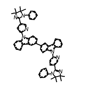 CC1(C)N=C(c2ccc(-n3c4ccccc4c4cc(-c5ccc6c(c5)c5ccccc5n6-c5ccc(C6=NC(C)(C)C(C)(C)N6c6ccccc6)cn5)ccc43)nc2)N(c2ccccc2)C1(C)C